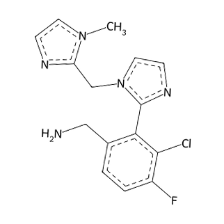 Cn1ccnc1Cn1ccnc1-c1c(CN)ccc(F)c1Cl